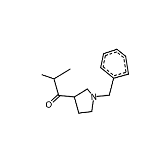 CC(C)C(=O)C1CCN(Cc2ccccc2)C1